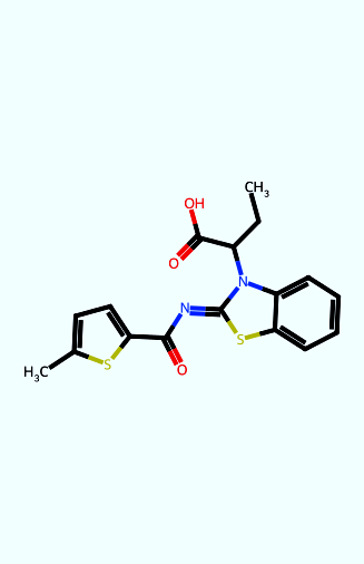 CCC(C(=O)O)n1c(=NC(=O)c2ccc(C)s2)sc2ccccc21